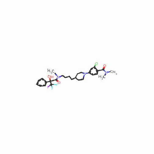 CN(C)C(=O)c1ccc(N2CCC(CCCCN(C)C(=O)C(O)(c3ccccc3)C(F)(F)I)CC2)cc1Cl